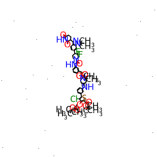 CC(C)n1nc(C2CCC(=O)NC2=O)c2ccc(C3CCN(C(=O)Nc4cccc(CS(=O)(=O)N5CC[C@H](Nc6cccc(-c7sc(C(=O)OC(C)(C)C)c(OCC(=O)OC(C)(C)C)c7Cl)c6)CC5(C)C)c4)CC3(F)F)cc21